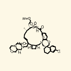 COCC[C@H]1[C@@H](C)C/C=C/[C@](CN2CCN3CCOC[C@@H]3C2)(OC)[C@@H]2CC[C@H]2CN2C[C@@]3(CCCc4cc(Cl)ccc43)COc3ccc(nc32)C(=O)NS1(=O)=O